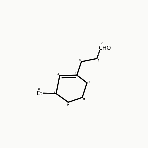 CCC1C=C(CCC=O)CCC1